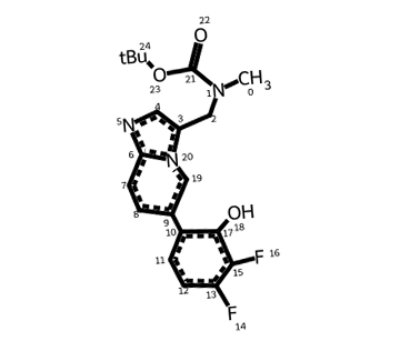 CN(Cc1cnc2ccc(-c3ccc(F)c(F)c3O)cn12)C(=O)OC(C)(C)C